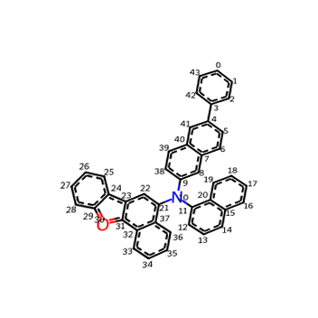 c1ccc(-c2ccc3cc(N(c4cccc5ccccc45)c4cc5c6ccccc6oc5c5ccccc45)ccc3c2)cc1